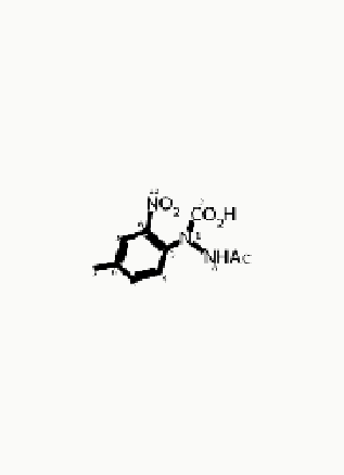 CC(=O)NN(C(=O)O)c1ccc(C)cc1[N+](=O)[O-]